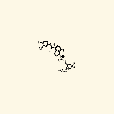 O=C(N[C@H]1CCc2c(C(=O)Nc3ccc(F)c(Cl)c3)ccc(F)c21)OCC1CC(F)(F)CN1C(=O)O